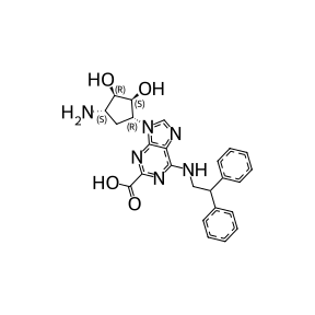 N[C@H]1C[C@@H](n2cnc3c(NCC(c4ccccc4)c4ccccc4)nc(C(=O)O)nc32)[C@H](O)[C@@H]1O